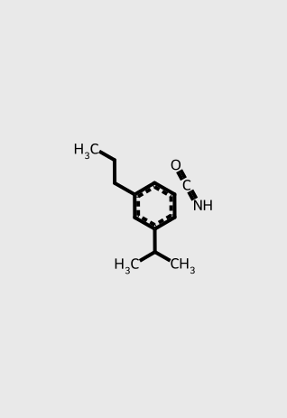 CCCc1cccc(C(C)C)c1.N=C=O